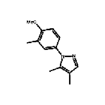 COc1ccc(-n2ncc(C)c2C)cc1C